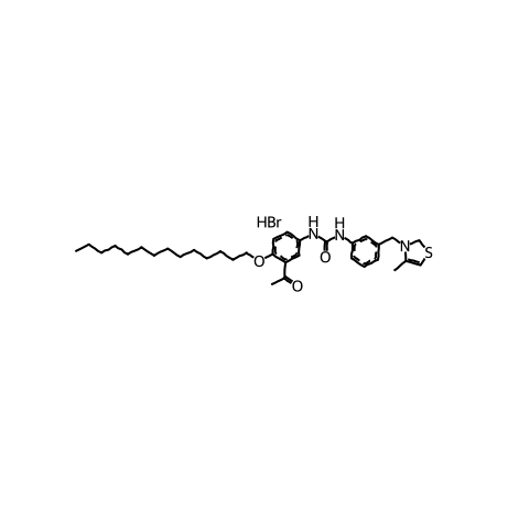 Br.CCCCCCCCCCCCCCOc1ccc(NC(=O)Nc2cccc(CN3CSC=C3C)c2)cc1C(C)=O